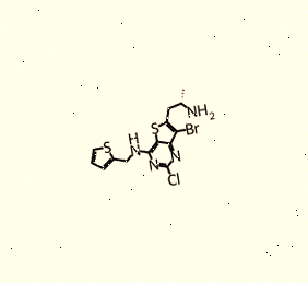 C[C@H](N)Cc1sc2c(NCc3cccs3)nc(Cl)nc2c1Br